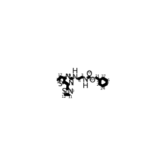 O=C(NCCNc1nc(-c2nccs2)c2sccc2n1)OCc1ccccc1